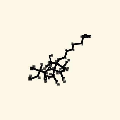 CCCCCCCCCCCCCCCCC(N(F)F)(N(F)F)C(OC(=O)C(C)(Br)CBr)(N(F)F)N(F)F